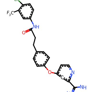 N=C(N)c1cc(Oc2ccc(CCC(=O)Nc3ccc(Cl)c(C(F)(F)F)c3)cc2)ccn1